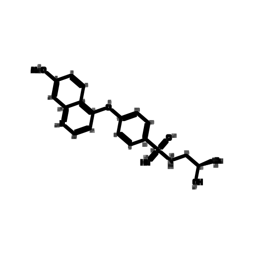 COc1ccc2c(Oc3ccc(S(=N)(=O)NC[C@H](O)C(C)(C)C)cc3)ccnc2c1